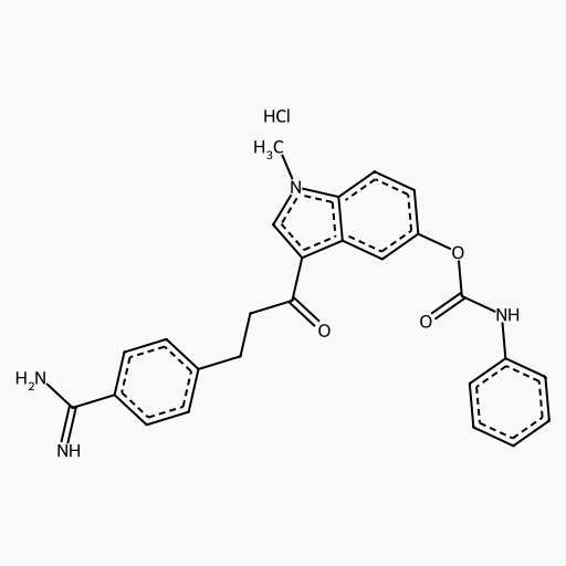 Cl.Cn1cc(C(=O)CCc2ccc(C(=N)N)cc2)c2cc(OC(=O)Nc3ccccc3)ccc21